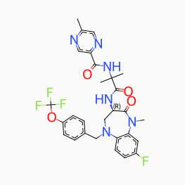 Cc1cnc(C(=O)NC(C)(C)C(=O)N[C@@H]2CN(Cc3ccc(OC(F)(F)F)cc3)c3ccc(F)cc3N(C)C2=O)cn1